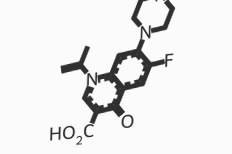 C=C(C)n1cc(C(=O)O)c(=O)c2cc(F)c(N3CCNCC3)cc21